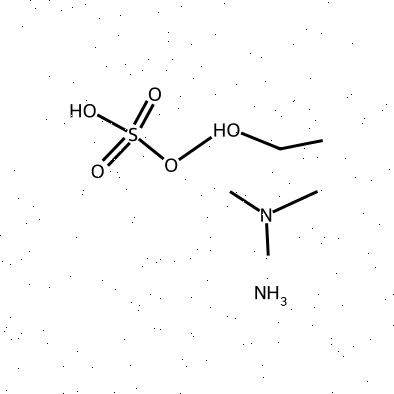 CCO.CN(C)C.COS(=O)(=O)O.N